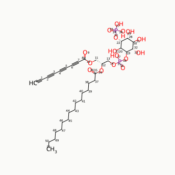 C#CC#CC#CC#CC(=O)OC[C@H](COP(=O)(O)OC1C(O)[C@H](OP(=O)(O)O)[C@H](O)C(O)[C@@H]1O)OC(=O)CCCCCCCCCCCCCCC